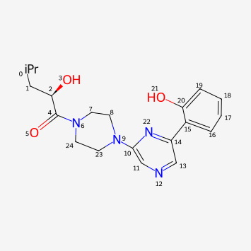 CC(C)C[C@@H](O)C(=O)N1CCN(c2cncc(-c3ccccc3O)n2)CC1